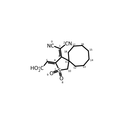 N#CC(C#N)=C1/C(=C/C(=O)O)S(=O)(=O)CC12CCCCCCC2